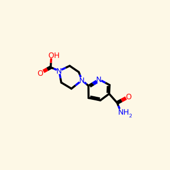 NC(=O)c1ccc(N2CCN(C(=O)O)CC2)nc1